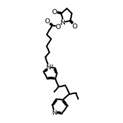 CCC(CC(C)c1cc[n+](CCCCCC(=O)ON2C(=O)CCC2=O)cc1)c1ccncc1